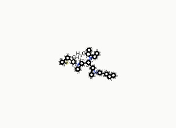 CC1Cc2c(c3c4ccccc4ccc3n2-c2cc(-c3ccc4c(c3)c3ccccc3n4C3=CC(C)C(c4cccc5c4sc4ccccc45)C=C3)cc(-c3ccc4c(c3)c3ccccc3n4-c3ccc(-c4ccc5c(ccc6ccccc65)c4)cc3)c2)-c2ccccc21